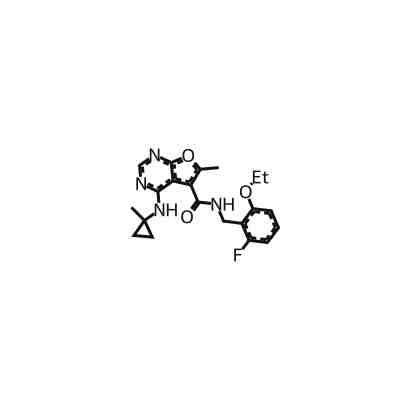 CCOc1cccc(F)c1CNC(=O)c1c(C)oc2ncnc(NC3(C)CC3)c12